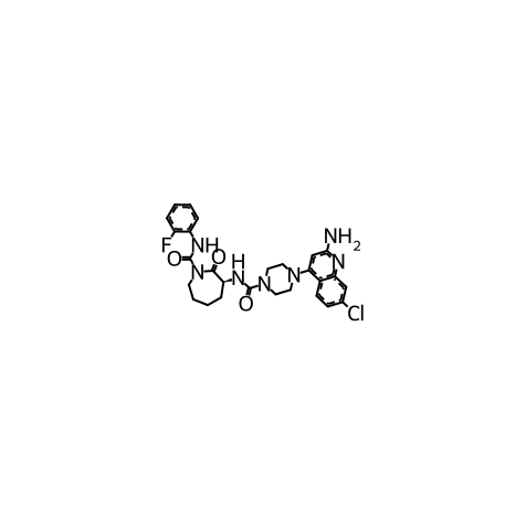 Nc1cc(N2CCN(C(=O)N[C@H]3CCCCN(C(=O)Nc4ccccc4F)C3=O)CC2)c2ccc(Cl)cc2n1